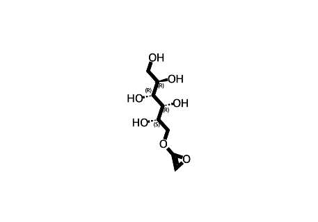 OC[C@@H](O)[C@@H](O)[C@H](O)[C@@H](O)COC1=CO1